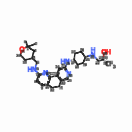 CC1(C)CC(CNc2ccc3c(n2)-c2cc(N[C@H]4CC[C@H](NC[C@H](O)C(F)(F)F)CC4)ncc2CC3)CCO1